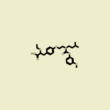 CCOC(Cc1ccc(OCCN(CCC(C)C)C(=O)Oc2cccc(OC)c2)cc1)C(=O)O